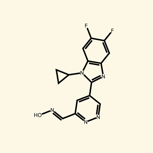 ON=Cc1cc(-c2nc3cc(F)c(F)cc3n2C2CC2)cnn1